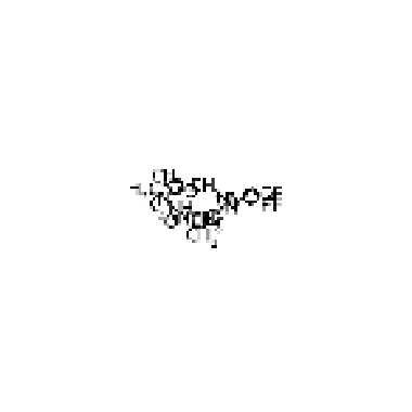 COc1ccc(C(C)C)c(N2CCCSC2NC(=O)NCC(C)(C)Cc2ccc(-c3ncn(-c4ccc(OC(F)(F)F)cc4)n3)cc2)c1